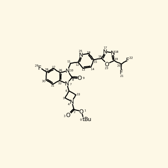 CC(C)(C)OC(=O)N1CC(n2c(=O)n(Cc3ccc(-c4nnc(C(F)F)o4)cn3)c3cc(F)ccc32)C1